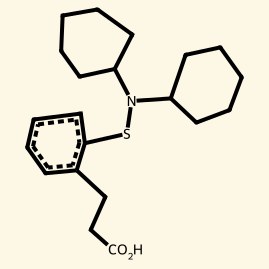 O=C(O)CCc1ccccc1SN(C1CCCCC1)C1CCCCC1